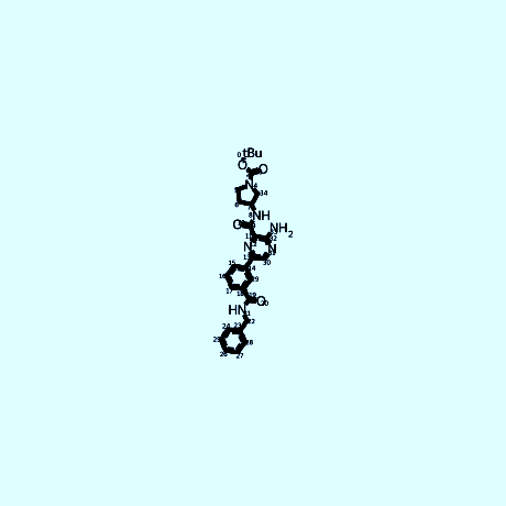 CC(C)(C)OC(=O)N1CCC(NC(=O)c2nc(-c3cccc(C(=O)NCc4ccccc4)c3)cnc2N)C1